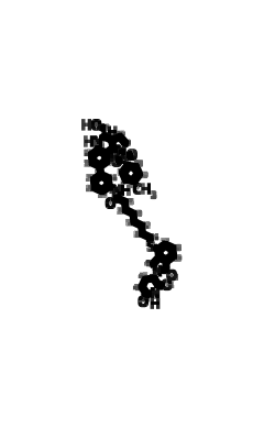 Cc1ccc(S(=O)(=O)N2CC[C@@H]3[C@H](CO)Nc4ccc(-c5cccc(NC(=O)CCCCCCCSc6cccc7c6CN(C6CCC(=O)NC6=O)C7=O)c5)cc4[C@@H]32)cc1